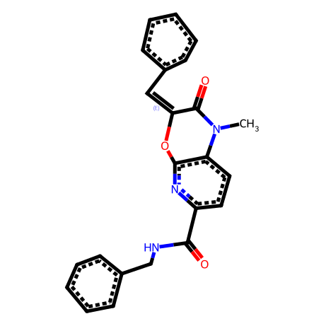 CN1C(=O)/C(=C\c2ccccc2)Oc2nc(C(=O)NCc3ccccc3)ccc21